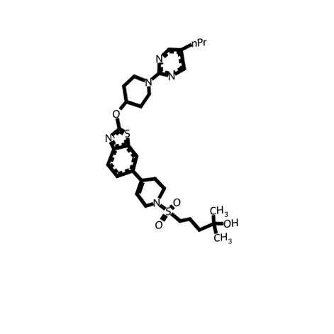 CCCc1cnc(N2CCC(Oc3nc4ccc(C5=CCN(S(=O)(=O)CCCC(C)(C)O)CC5)cc4s3)CC2)nc1